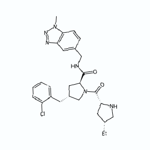 CC[C@H]1CN[C@@H](C(=O)N2C[C@H](Cc3ccccc3Cl)C[C@H]2C(=O)NCc2ccc3c(c2)nnn3C)C1